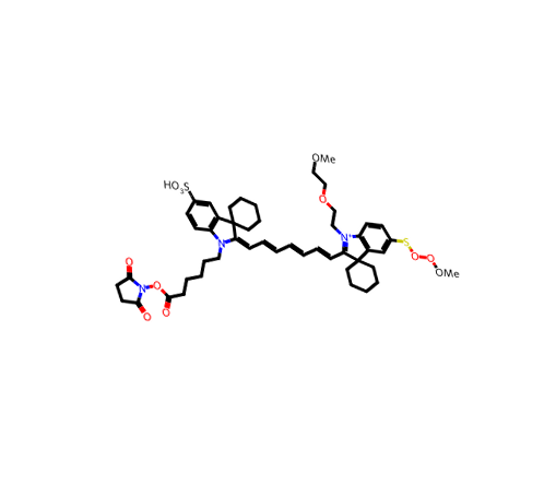 COCCOCC[N+]1=C(/C=C/C=C/C=C/C=C2/N(CCCCCC(=O)ON3C(=O)CCC3=O)c3ccc(S(=O)(=O)O)cc3C23CCCCC3)C2(CCCCC2)c2cc(SOOOC)ccc21